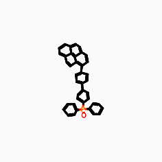 O=P(c1ccccc1)(c1ccccc1)c1ccc(-c2ccc(-c3ccc4ccc5cccc6ccc3c4c56)cc2)cc1